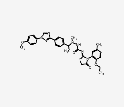 Cc1ccc(OCC(F)(F)F)c(N2C(=O)CSC2=NC(=O)NN(C)C(C)c2ccc(-c3ncn(-c4ccc(OC(F)(F)F)cc4)n3)cc2)c1